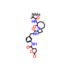 CN[C@@H](C)C(=O)NC1CCCCC2CCC(C(=O)NCc3cccc(NC(=O)C4CCC(=O)O4)c3)N2C1=O